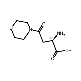 N[C@H](CC(=O)N1CCOCC1)C(=O)O